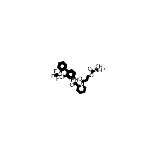 CNC(=O)OCCC(=O)N1CCCCC1C(=O)Nc1ccc(-c2ccccc2OC(F)(F)F)c(Cl)c1